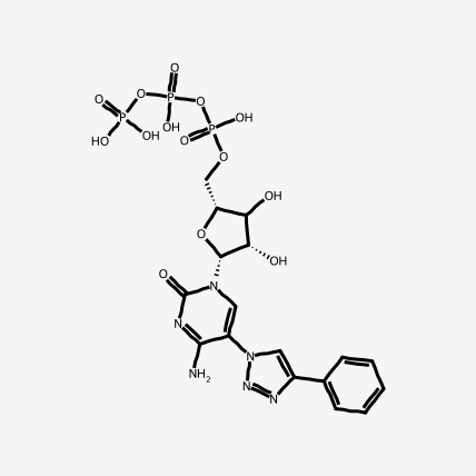 Nc1nc(=O)n([C@@H]2O[C@H](COP(=O)(O)OP(=O)(O)OP(=O)(O)O)C(O)[C@@H]2O)cc1-n1cc(-c2ccccc2)nn1